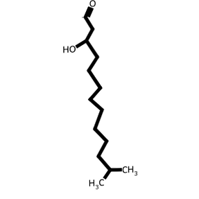 CC(C)CCCCCCCCC(O)C[C]=O